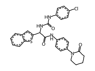 O=C(Nc1ccc(Cl)cc1)NC(C(=O)Nc1ccc(N2CCCCC2=O)cc1)c1cc2ccccc2s1